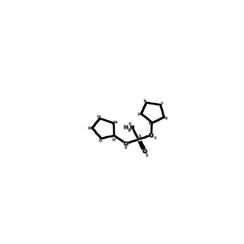 NP(=O)(OC1CCCC1)OC1CCCC1